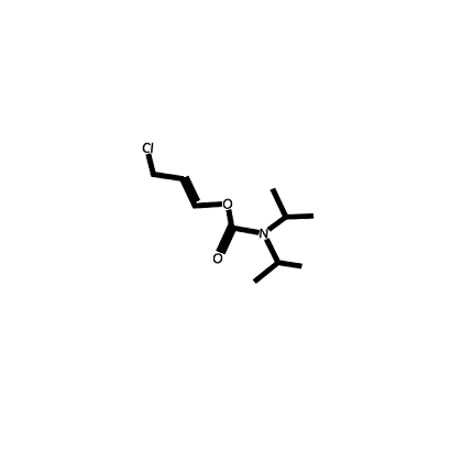 CC(C)N(C(=O)OC=CCCl)C(C)C